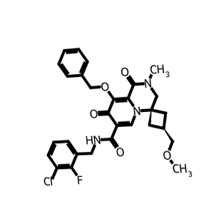 COC[C@H]1C[C@@]2(CN(C)C(=O)c3c(OCc4ccccc4)c(=O)c(C(=O)NCc4cccc(Cl)c4F)cn32)C1